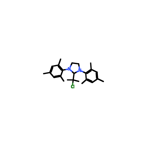 Cc1cc(C)c(N2CCN(c3c(C)cc(C)cc3C)C2C(C)(C)Cl)c(C)c1